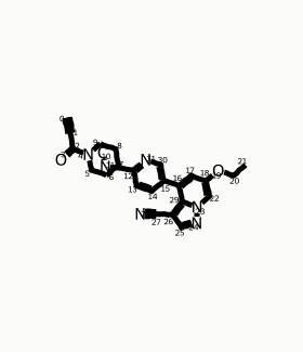 C#CC(=O)N1CC2CCC1CN2c1ccc(-c2cc(OCC)cn3ncc(C#N)c23)cn1